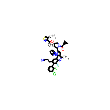 Cc1csnc1C(C)OC1CC(c2cc3c(C)nc4c(F)c(-c5cccc(Cl)c5Cl)c(CCC#N)cc4c3n2C2C3CNC2C3)N(C(=O)C2CC2)C1